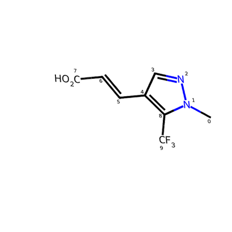 Cn1ncc(/C=C/C(=O)O)c1C(F)(F)F